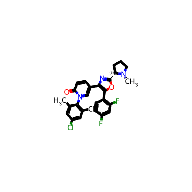 Cc1cc(Cl)cc(C)c1-n1cc(-c2nc([C@@H]3CCCN3C)oc2-c2ccc(F)cc2F)ccc1=O